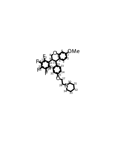 COc1ccc2c(c1)OCC(c1c(F)c(F)c(F)c(F)c1F)C2c1ccc(OCCN2CCCCC2)cc1